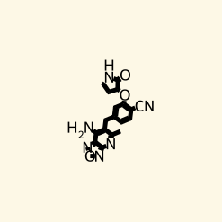 Cc1nc2nonc2c(N)c1Cc1ccc(C#N)c(OC2CCNC2=O)c1